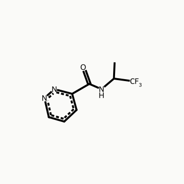 CC(NC(=O)c1cccnn1)C(F)(F)F